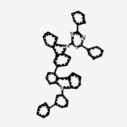 c1ccc(-c2cccc(-n3c4ccccc4c4c(-c5ccc6c(c5)c5ccccc5n6-c5nc(-c6ccccc6)nc(-c6ccccc6)n5)cccc43)c2)cc1